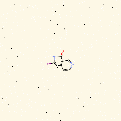 O=c1[nH]c(I)cc2ccncc12